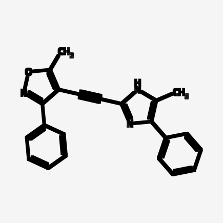 Cc1[nH]c(C#Cc2c(-c3ccccc3)noc2C)nc1-c1ccccc1